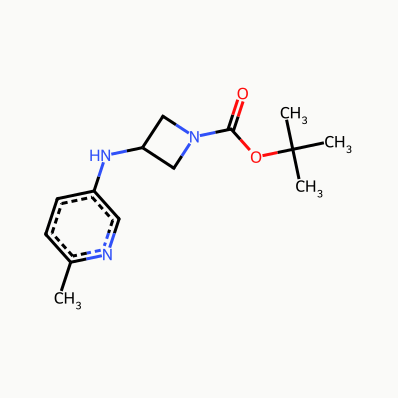 Cc1ccc(NC2CN(C(=O)OC(C)(C)C)C2)cn1